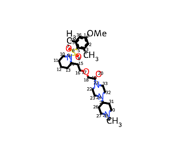 COc1cc(C)c(S(=O)(=O)N2CCCCC2CCOCC(=O)N2CCN(C3CCN(C)CC3)CC2)c(C)c1